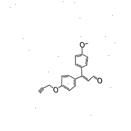 C#CCOc1ccc(/C(=C/C=O)c2ccc(OC)cc2)cc1